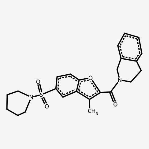 Cc1c(C(=O)N2CCc3ccccc3C2)oc2ccc(S(=O)(=O)N3CCCCC3)cc12